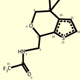 O=C(NCC1OCC2(CC2)c2ccsc21)C(F)(F)F